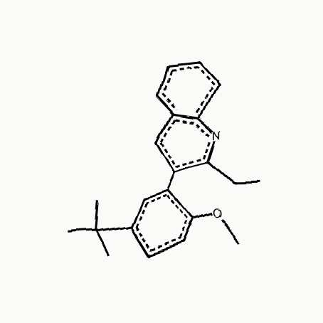 CCc1nc2ccccc2cc1-c1cc(C(C)(C)C)ccc1OC